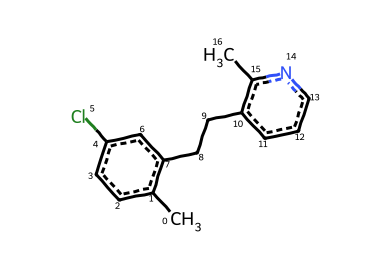 Cc1ccc(Cl)cc1CCc1cccnc1C